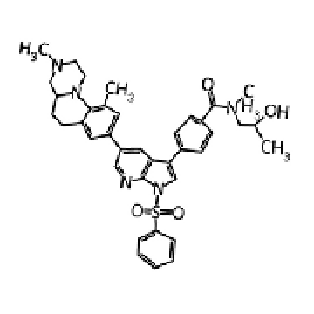 Cc1cc(-c2cnc3c(c2)c(-c2ccc(C(=O)N(C)CC(C)O)cc2)cn3S(=O)(=O)c2ccccc2)cc2c1N1CCN(C)CC1CC2